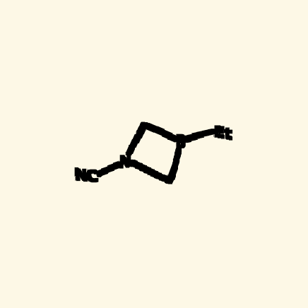 CCB1CN(C#N)C1